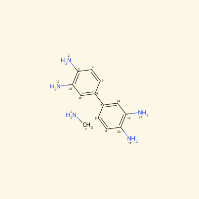 CN.Nc1ccc(-c2ccc(N)c(N)c2)cc1N